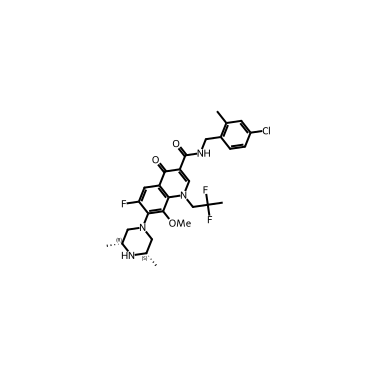 COc1c(N2C[C@@H](C)N[C@@H](C)C2)c(F)cc2c(=O)c(C(=O)NCc3ccc(Cl)cc3C)cn(CC(C)(F)F)c12